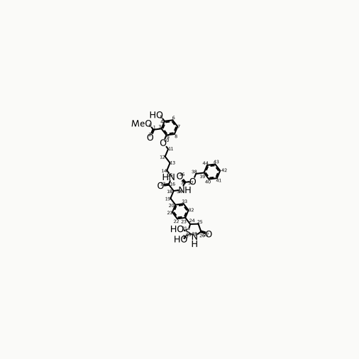 COC(=O)c1c(O)cccc1OCCCCNC(=O)C(Cc1ccc(C2CC(=O)NS2(O)O)cc1)NC(=O)OCc1ccccc1